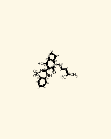 CC(C)=CC=Nn1c(=O)c(C2=NS(=O)(=O)c3ccccc3N2)c(O)c2sccc21